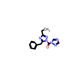 CCc1nc(Cc2ccccc2)n(C(=O)n2cncn2)n1